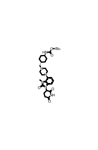 Cn1c(=O)n(C2CCC(=O)NC2=O)c2cccc(N3CCN(C[C@H]4CC[C@H](NC(=O)OC(C)(C)C)CC4)CC3)c21